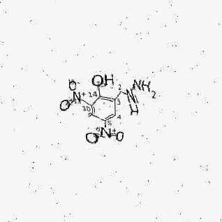 NNCc1cc([N+](=O)[O-])cc([N+](=O)[O-])c1O